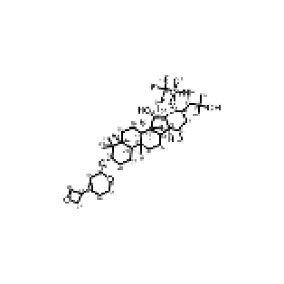 C[C@@H]1C[C@H]([C@H](NS(=O)(=O)C(F)(F)F)C(C)(C)O)O[C@H]2[C@H]1[C@@]1(C)CC[C@@]34C[C@@]35CC[C@H](O[C@H]3CN(C6COC6)CCO3)C(C)(C)[C@@H]5CC[C@H]4[C@]1(C)[C@H]2O